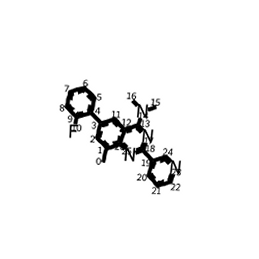 Cc1cc(-c2ccccc2F)cc2c(N(C)C)nc(-c3cccnc3)nc12